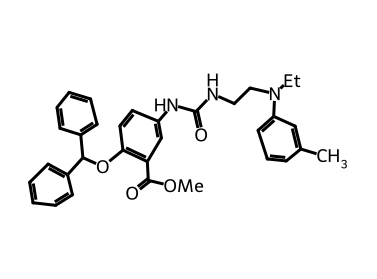 CCN(CCNC(=O)Nc1ccc(OC(c2ccccc2)c2ccccc2)c(C(=O)OC)c1)c1cccc(C)c1